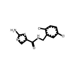 Nc1ncc(C(=O)NCc2cc(Cl)ccc2Cl)s1